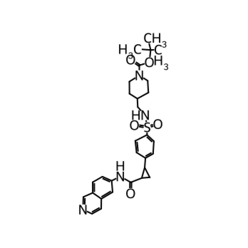 CC(C)(C)OC(=O)N1CCC(CNS(=O)(=O)c2ccc(C3CC3C(=O)Nc3ccc4cnccc4c3)cc2)CC1